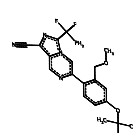 COCc1cc(OC(C)(C)F)ccc1-c1cn2c(C(F)(F)P)nc(C#N)c2cn1